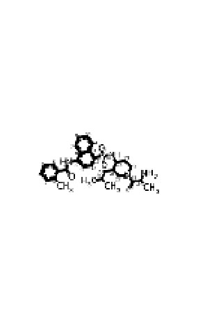 Cc1ccccc1C(=O)Nc1ccc(S(=O)(=O)NC2CCN(C(=O)C(C)N)CC2CC(C)C)c2ccccc12